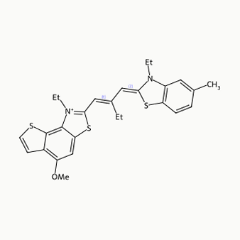 CCC(/C=C1\Sc2ccc(C)cc2N1CC)=C\c1sc2cc(OC)c3ccsc3c2[n+]1CC